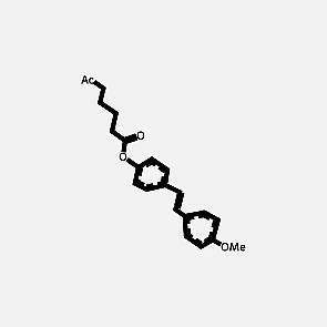 COc1ccc(C=Cc2ccc(OC(=O)CCCCC(C)=O)cc2)cc1